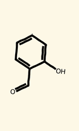 O=Cc1cc[c]cc1O